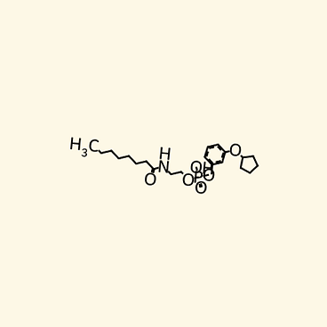 CCCCCCCC(=O)NCCOP(=O)(O)Oc1cccc(OC2CCCC2)c1